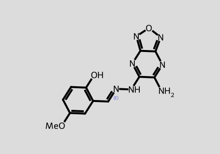 COc1ccc(O)c(/C=N/Nc2nc3nonc3nc2N)c1